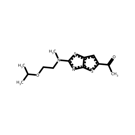 CC(=O)c1cc2sc(N(C)CCOC(C)C)nc2s1